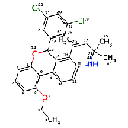 CCOc1cccc2c1-c1ccc3c(c1C(c1cc(Cl)cc(Cl)c1)O2)C(C)=CC(C)(C)N3